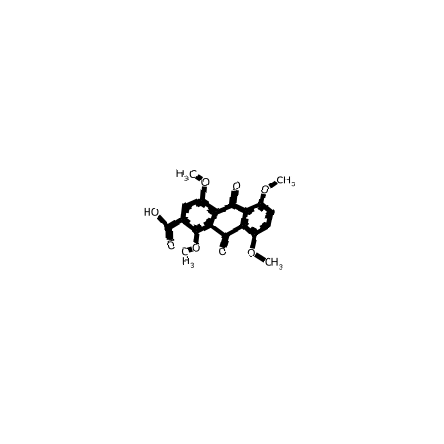 COc1ccc(OC)c2c1C(=O)c1c(OC)cc(C(=O)O)c(OC)c1C2=O